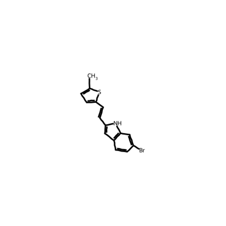 Cc1ccc(C=Cc2cc3ccc(Br)cc3[nH]2)s1